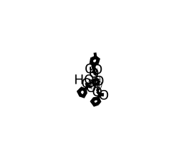 Cc1ccc(S(=O)(=O)OC[C@@H]2O[C@H](COC(=O)c3ccccc3)[C@@H](OC(=O)c3ccccc3)[C@@H]2O)cc1